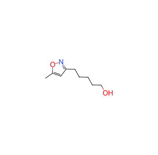 Cc1cc(CCCCCO)no1